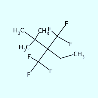 CCC(C(C)(C)C)(C(F)(F)F)C(F)(F)F